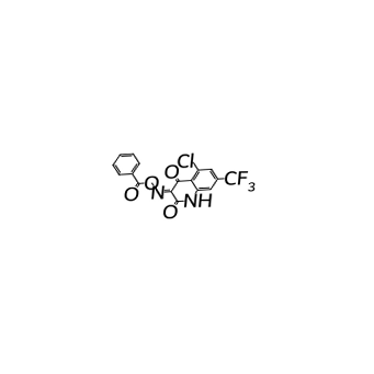 O=C1Nc2cc(C(F)(F)F)cc(Cl)c2C(=O)C1=NOC(=O)c1ccccc1